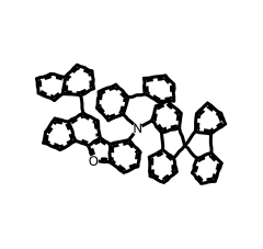 c1ccc(-c2ccccc2N(c2cccc3c2-c2ccccc2C32c3ccccc3-c3ccccc32)c2cccc3oc4c5ccccc5c(-c5cccc6ccccc56)cc4c23)cc1